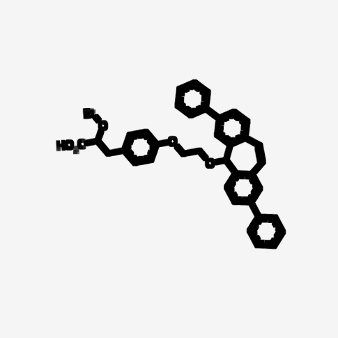 CCOC(Cc1ccc(OCCOC2c3ccc(-c4ccccc4)cc3C=Cc3ccc(-c4ccccc4)cc32)cc1)C(=O)O